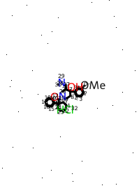 COc1cccc(C2(O)CCN(C(=O)C3(c4ccccc4)CCCCC3)CC2CN(C)C)c1.Cl